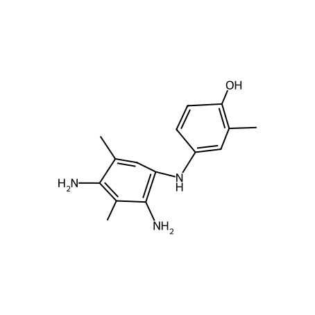 Cc1cc(Nc2cc(C)c(N)c(C)c2N)ccc1O